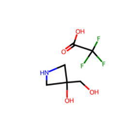 O=C(O)C(F)(F)F.OCC1(O)CNC1